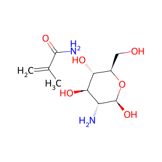 C=C(C)C(N)=O.N[C@@H]1[C@@H](O)[C@H](O)[C@@H](CO)O[C@H]1O